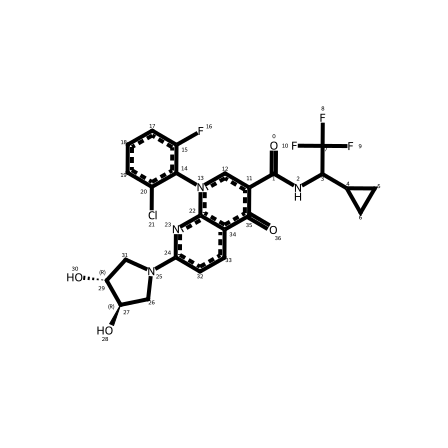 O=C(NC(C1CC1)C(F)(F)F)c1cn(-c2c(F)cccc2Cl)c2nc(N3C[C@@H](O)[C@H](O)C3)ccc2c1=O